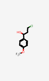 OC(CCCl)c1ccc(OC(F)(F)F)cc1